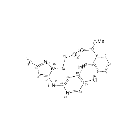 CNC(=O)c1ccccc1Nc1cc(Nc2cc(C)nn2CCO)ncc1Cl